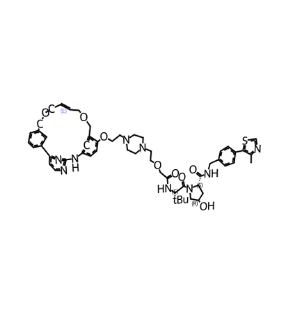 Cc1ncsc1-c1ccc(CNC(=O)[C@@H]2C[C@@H](O)CN2C(=O)[C@@H](NC(=O)COCCN2CCN(CCOc3ccc4cc3COC/C=C/COCc3cccc(c3)-c3ccnc(n3)N4)CC2)C(C)(C)C)cc1